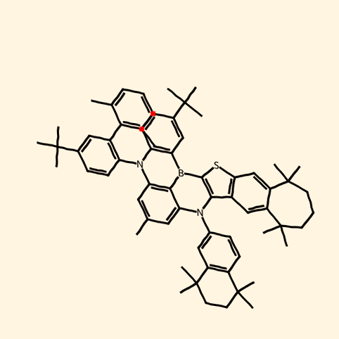 Cc1cc2c3c(c1)N(c1ccc4c(c1)C(C)(C)CCC4(C)C)c1c(sc4cc5c(cc14)C(C)(C)CCCC5(C)C)B3c1cc(C(C)(C)C)ccc1N2c1ccc(C(C)(C)C)cc1-c1c(C)cccc1C